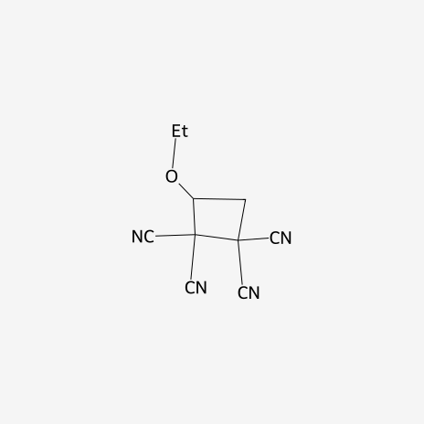 CCOC1CC(C#N)(C#N)C1(C#N)C#N